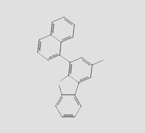 Cc1cc(-c2cccc3ccccc23)c2oc3ccccc3c2c1